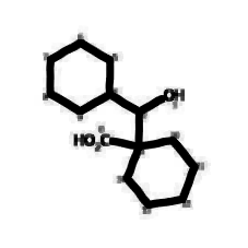 O=C(O)C1(C(O)C2CCCCC2)CCCCC1